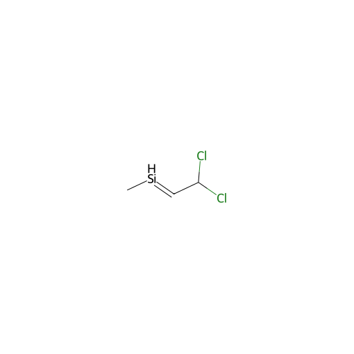 C[SiH]=CC(Cl)Cl